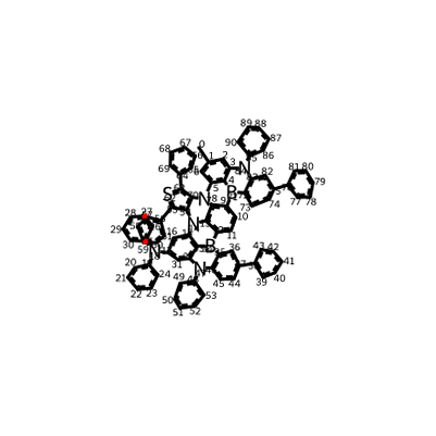 Cc1cc2c3c(c1)N1c4c(ccc5c4N(c4cc(N(c6ccccc6)c6ccccc6)cc6c4B5c4cc(-c5ccccc5)ccc4N6c4ccccc4)c4c(-c5ccccc5)sc(-c5ccccc5)c41)B3c1ccc(-c3ccccc3)cc1N2c1ccccc1